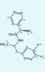 N[C@@H](C(=O)NC(Cc1ccc(F)c(F)c1)C(=O)O)c1ccccc1